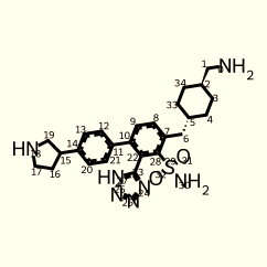 NC[C@H]1CC[C@H](Cc2ccc(-c3ccc(C4CCNC4)cc3)c(-c3nnn[nH]3)c2S(N)(=O)=O)CC1